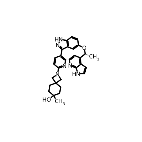 C[C@@H](Oc1ccc2[nH]nc(-c3ccc(N4CC5(CCC(C)(O)CC5)C4)nc3)c2c1)c1ccnc2[nH]ccc12